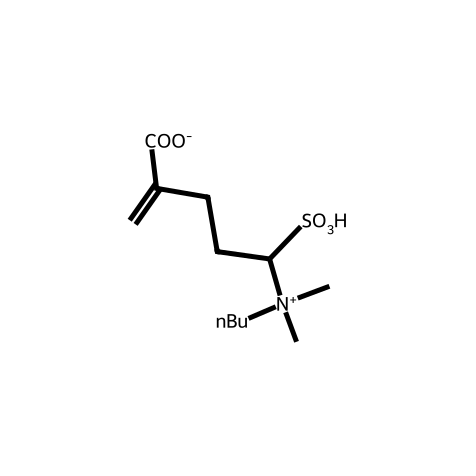 C=C(CCC([N+](C)(C)CCCC)S(=O)(=O)O)C(=O)[O-]